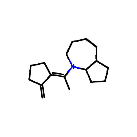 C=C1CCC/C1=C(/C)N1CCCCC2CCCC21